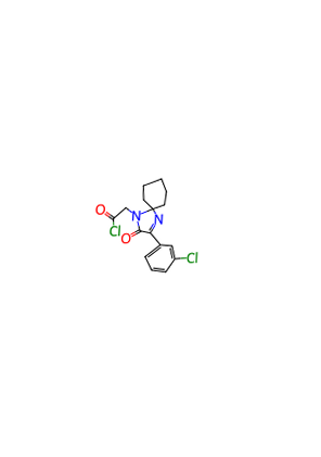 O=C(Cl)CN1C(=O)C(c2cccc(Cl)c2)=NC12CCCCC2